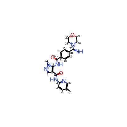 Cc1ccc(NC(=O)c2cnn(C)c2NC(=O)c2ccc(C(=N)N3CCOCC3)cc2)nc1